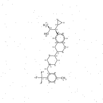 Cc1ccc(C(F)(F)F)c(CN2CCC(C3COc4ccc([C@H](C5CC5)[C@H](C)O)cc4C3)CC2)c1